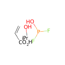 C=CC(=O)O.CC(C)O.OP(F)F